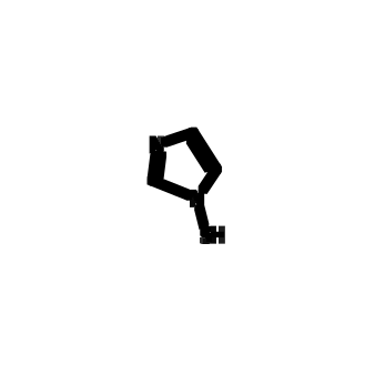 Sn1ccnc1